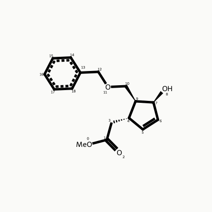 COC(=O)C[C@H]1C=C[C@H](O)[C@@H]1COCc1ccccc1